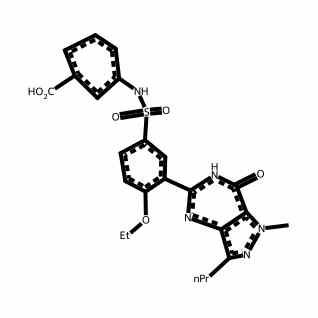 CCCc1nn(C)c2c(=O)[nH]c(-c3cc(S(=O)(=O)Nc4cccc(C(=O)O)c4)ccc3OCC)nc12